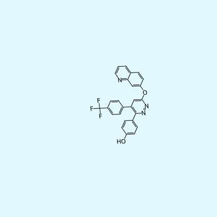 Oc1ccc(-c2nnc(Oc3ccc4cccnc4c3)cc2-c2ccc(C(F)(F)F)cc2)cc1